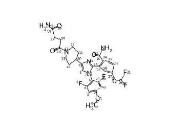 COc1cc(F)c(-n2cc(C3CCN(C(=O)CCC(N)=O)CC3)nc2-c2cc(OC(F)F)ccc2C(N)=O)c(F)c1